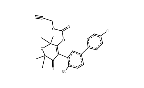 C#CCOC(=O)OC1=C(c2cc(-c3ccc(Cl)cc3)ccc2CC)C(=O)C(C)(C)OC1(C)C